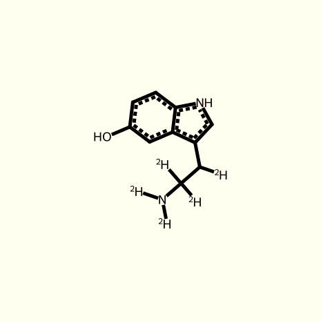 [2H]C(c1c[nH]c2ccc(O)cc12)C([2H])([2H])N([2H])[2H]